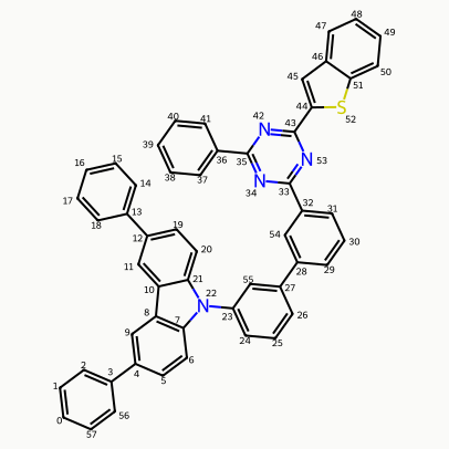 c1ccc(-c2ccc3c(c2)c2cc(-c4ccccc4)ccc2n3-c2cccc(-c3cccc(-c4nc(-c5ccccc5)nc(-c5cc6ccccc6s5)n4)c3)c2)cc1